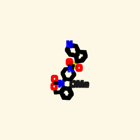 COc1cccc2c1N(C1CCN(S(=O)(=O)c3cccc4cnccc34)CC1)C(=O)OC2